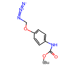 CC(C)(C)OC(=O)Nc1ccc(OCN=[N+]=[N-])cc1